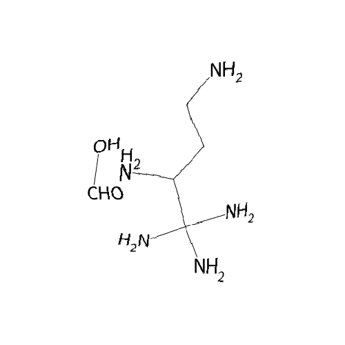 NCCC(N)C(N)(N)N.O=CO